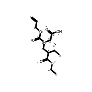 C=CCOC(=O)N(CC(CC)C(=O)OCC)[C@@H](C)C(=O)O